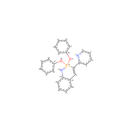 C1=C(c2ccccn2)P(Oc2ccccc2)(Oc2ccccc2)=Nc2ccccc21